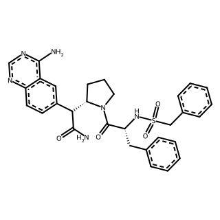 NC(=O)C(c1ccc2ncnc(N)c2c1)[C@@H]1CCCN1C(=O)[C@@H](Cc1ccccc1)NS(=O)(=O)Cc1ccccc1